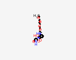 CCOCCOCCOCCOCCNc1cccc2c1C(O)N(C1CCC(=O)NC1=O)C2=O